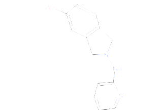 Oc1ccc2c(c1)CN(Nc1ccccn1)C2